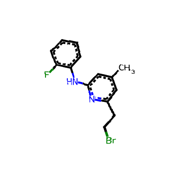 Cc1cc(CCBr)nc(Nc2ccccc2F)c1